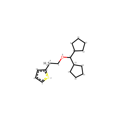 c1csc([SiH2]COC(C2CCCC2)C2CCCC2)c1